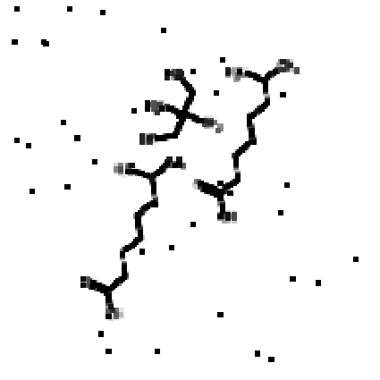 CC(C)(CO)CO.CC(C)CCCCCC(=O)O.CC(C)CCCCCC(=O)O